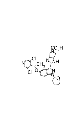 CC(Oc1ccc2c(c1)c(C1=NC3CN(C(=O)O)CC3N1)nn2C1CCCCO1)c1c(Cl)cncc1Cl